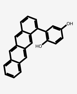 Oc1ccc(O)c(-c2cccc3cc4cc5ccccc5cc4cc23)c1